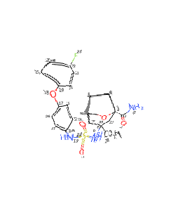 NC(=O)C12CCC(CC(NS(=O)(=O)Nc3ccc(Oc4ccc(F)cc4)cc3)(C(=O)O)C1)O2